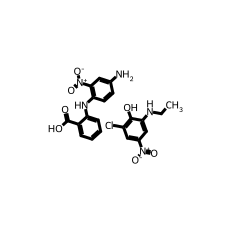 CCNc1cc([N+](=O)[O-])cc(Cl)c1O.Nc1ccc(Nc2ccccc2C(=O)O)c([N+](=O)[O-])c1